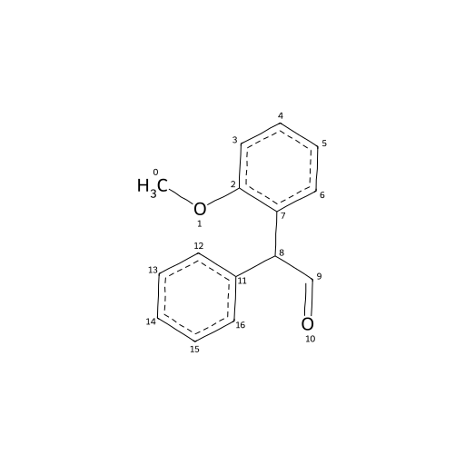 COc1ccccc1C(C=O)c1ccccc1